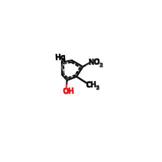 Cc1c(O)cccc1[N+](=O)[O-].[Hg]